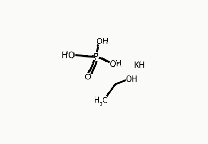 CCO.O=P(O)(O)O.[KH]